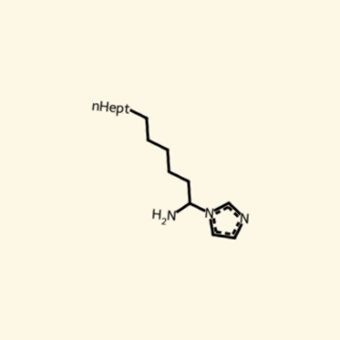 CCCCCCCCCCCCC(N)n1ccnc1